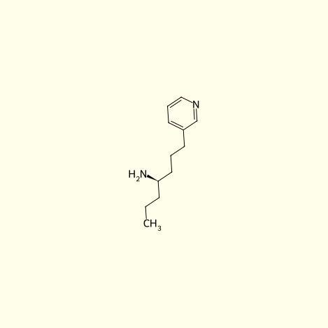 CCC[C@@H](N)CCCc1cccnc1